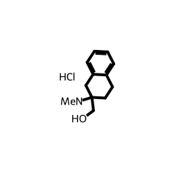 CNC1(CO)CCc2ccccc2C1.Cl